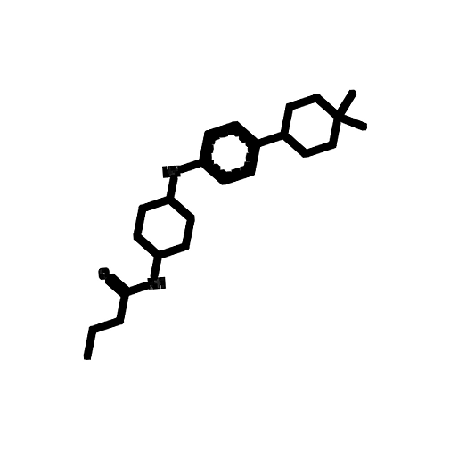 CCCC(=O)NC1CCC(Nc2ccc(C3CCC(C)(C)CC3)cc2)CC1